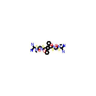 CCn1c(=C(C#N)C#N)s/c(=C/c2nc3c(s2)-c2cc4c(cc2C2(CCCCC2)O3)-c2sc(/C=c3/sc(=C(C#N)C#N)n(CC)c3=O)nc2OC42CCCCC2)c1=O